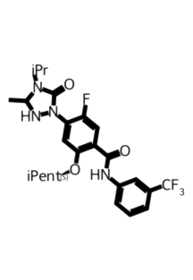 CCC[C@H](C)Oc1cc(N2NC(C)N(C(C)C)C2=O)c(F)cc1C(=O)Nc1cccc(C(F)(F)F)c1